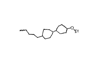 C=CCCCC1CCC(C2CCC(OCC)CC2)CC1